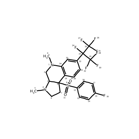 CN1CC2N(C)CCC2(S(=O)(=O)c2ccc(F)cc2)c2ccc(C(F)(C(F)(F)F)C(F)(F)F)cc21